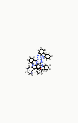 N/C(=N\C(=N/Cn1c2ccccc2c2ccccc21)n1c2ccccc2c2ccccc21)c1ccccc1-n1c2c(c3ccccc31)/C=C/CC/C=C\2